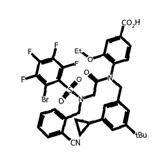 CCOc1cc(C(=O)O)ccc1N(Cc1cc(C2CC2)cc(C(C)(C)C)c1)C(=O)CN(Cc1ccccc1C#N)S(=O)(=O)c1c(F)c(F)c(F)c(F)c1Br